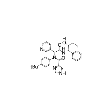 CC(C)(C)c1ccc(N(C(=O)c2c[nH]cn2)C(C(=O)N[C@H]2c3ccccc3CC[C@H]2O)c2cccnc2)cc1